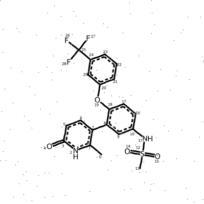 Cc1[nH]c(=O)ccc1-c1cc(NS(C)(=O)=O)ccc1Oc1cccc(C(F)(F)F)c1